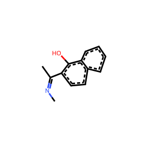 C/N=C(/C)c1ccc2ccccc2c1O